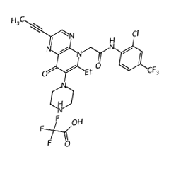 CC#Cc1cnc2c(n1)c(=O)c(N1CCNCC1)c(CC)n2CC(=O)Nc1ccc(C(F)(F)F)cc1Cl.O=C(O)C(F)(F)F